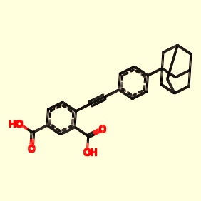 O=C(O)c1ccc(C#Cc2ccc(C34CC5CC(CC(C5)C3)C4)cc2)c(C(=O)O)c1